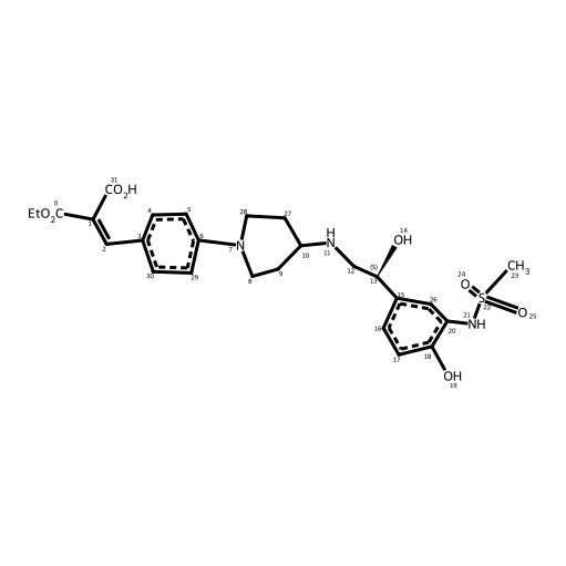 CCOC(=O)C(=Cc1ccc(N2CCC(NC[C@@H](O)c3ccc(O)c(NS(C)(=O)=O)c3)CC2)cc1)C(=O)O